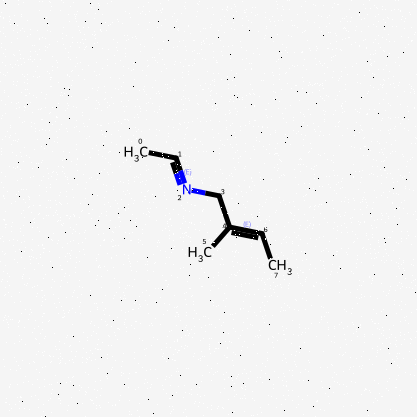 C/C=N/C/C(C)=C/C